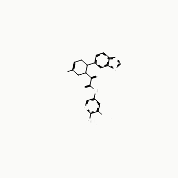 CC1=CCC(c2ccc3scnc3c2)C(C(=O)C(=O)Nc2cnc(N)c(C)c2)C1